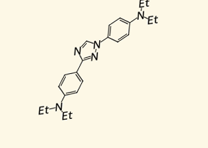 CCN(CC)c1ccc(-c2ncn(-c3ccc(N(CC)CC)cc3)n2)cc1